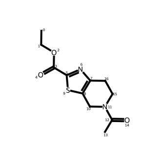 CCOC(=O)c1nc2c(s1)CN(C(C)=O)CC2